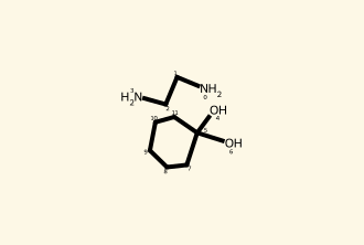 NCCN.OC1(O)CCCCC1